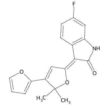 CC1(C)OC(=C2C(=O)Nc3cc(F)ccc32)C=C1c1ccco1